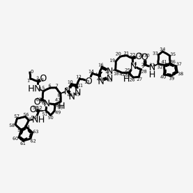 CCC(=O)N[C@H]1CC[C@@H](n2cc(COCc3cn([C@@H]4CCCC(=O)N5[C@H](CC[C@H]5C(=O)N[C@H]5CCCc6ccccc65)C4)nn3)nn2)C[C@H]2CC[C@@H](C(=O)N[C@@H]3CCCc4ccccc43)N2C1=O